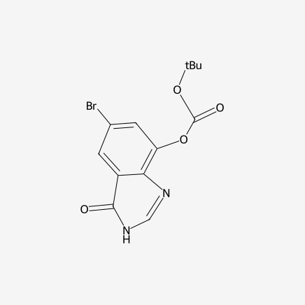 CC(C)(C)OC(=O)Oc1cc(Br)cc2c(=O)[nH]cnc12